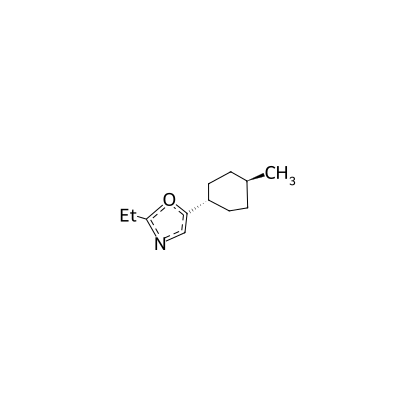 CCc1ncc([C@H]2CC[C@H](C)CC2)o1